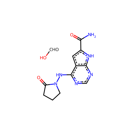 NC(=O)c1cc2c(NN3CCCC3=O)ncnc2[nH]1.O=CO